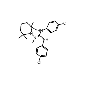 C[N+](=C(Nc1ccc(Cl)cc1)Nc1ccc(Cl)cc1)N1C(C)(C)CCCC1(C)C